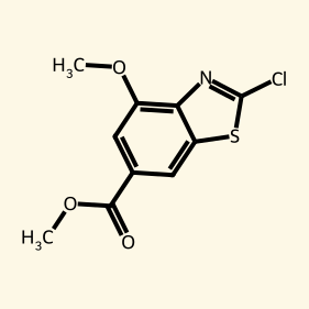 COC(=O)c1cc(OC)c2nc(Cl)sc2c1